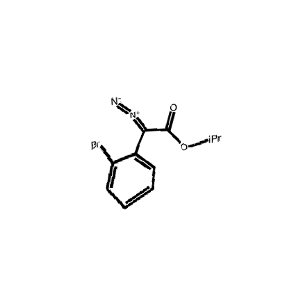 CC(C)OC(=O)C(=[N+]=[N-])c1ccccc1Br